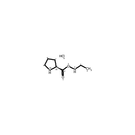 CCNOC(=O)[C@@H]1CCCN1.Cl